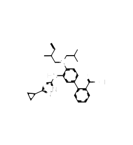 C=CC(C)CN(CC(C)C)c1ccc(-c2ccccc2C(=O)O)cc1Nc1nnc(C2CC2)s1